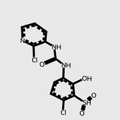 O=C(Nc1cccnc1Cl)Nc1ccc(Cl)c([SH](=O)=O)c1O